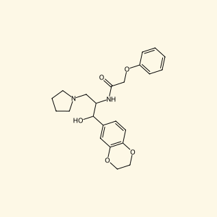 O=C(COc1ccccc1)NC(CN1CCCC1)C(O)c1ccc2c(c1)OCCO2